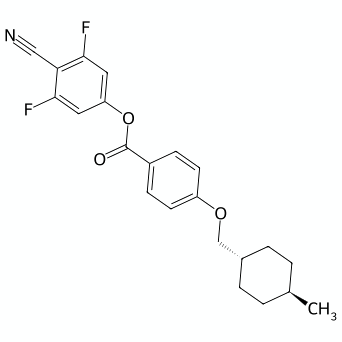 C[C@H]1CC[C@H](COc2ccc(C(=O)Oc3cc(F)c(C#N)c(F)c3)cc2)CC1